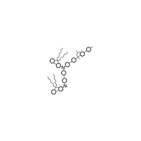 CCCCCCC1(CCCCCC)c2ccccc2-c2ccc(N(C)c3ccc(-c4ccc(N(c5ccc(-c6ccc(C(C)(CC(C)C)c7ccc(-c8ccc(C)cc8)cc7)cc6)cc5)c5ccc6c(c5)C(CCCCCC)(CCCCCC)c5ccccc5-6)cc4)cc3)cc21